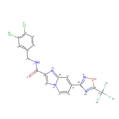 O=C(NCc1ccc(Cl)c(Cl)c1)c1cn2ccc(-c3noc(C(F)(F)F)n3)cc2n1